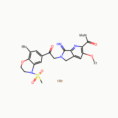 Br.CCOc1cc2c(nc1C(=O)NC)C(=N)N(CC(=O)c1cc3c(c(C(C)(C)C)c1)OCCN3S(C)(=O)=O)C2